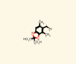 CC(=O)Cc1c(C)cc2c(c1C)OC(C(=O)O)(C(=O)O)O2